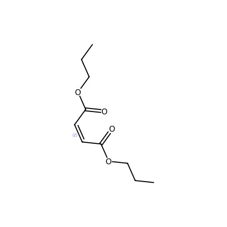 CCCOC(=O)/C=C\C(=O)OCCC